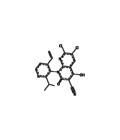 C=Cc1ccnc(C(C)C)c1-n1c(=O)c(C#N)c(O)c2cc(Cl)c(Cl)nc21